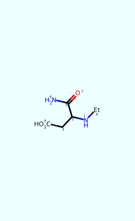 CCNC(CC(=O)O)C(N)=O